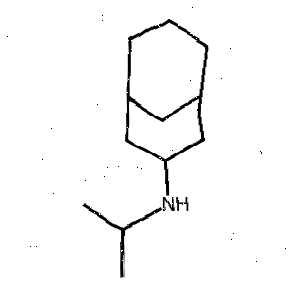 CC(C)NC1CC2CCCC(C2)C1